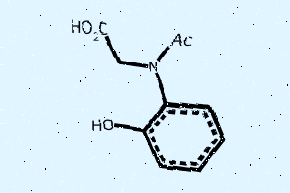 CC(=O)N(CC(=O)O)c1ccccc1O